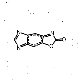 O=C1N=c2cc3c(cc2O1)=NC=N3